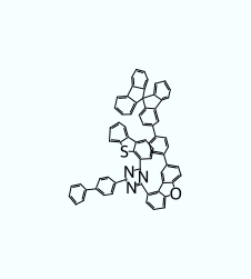 c1ccc(-c2ccc(-c3nc(-c4cccc5c4sc4ccccc45)nc(-c4cccc5oc6ccc(-c7ccc(-c8ccc9c(c8)-c8ccccc8C98c9ccccc9-c9ccccc98)cc7)cc6c45)n3)cc2)cc1